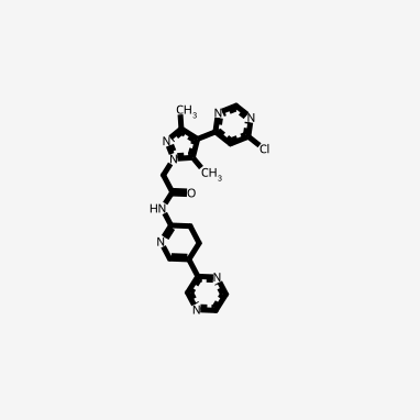 Cc1nn(CC(=O)NC2=NC=C(c3cnccn3)CC2)c(C)c1-c1cc(Cl)ncn1